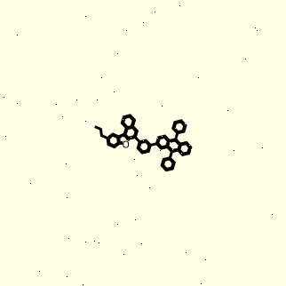 CCCc1ccc2oc3c(-c4cccc(-c5ccc6c(-c7ccccc7)c7ccccc7c(-c7ccccc7)c6c5)c4)cc4ccccc4c3c2c1